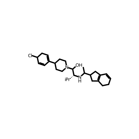 CC(N[C@H](C(C)C)C(O)N1CCC(C2=CCC(Cl)C=C2)CC1)C1CC2=C(CCC=C2)C1